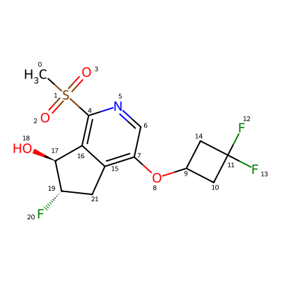 CS(=O)(=O)c1ncc(OC2CC(F)(F)C2)c2c1[C@H](O)[C@@H](F)C2